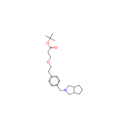 CC(C)(C)OC(=O)CCOCCc1ccc(CN2CC3CCCC3C2)cc1